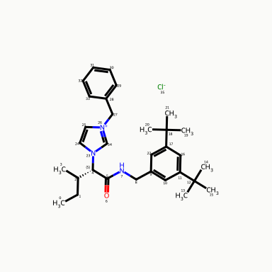 CCC(C)[C@@H](C(=O)NCc1cc(C(C)(C)C)cc(C(C)(C)C)c1)n1cc[n+](Cc2ccccc2)c1.[Cl-]